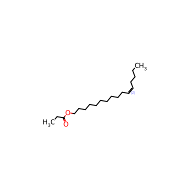 CCCC/C=C\CCCCCCCCCCOC(=O)CC